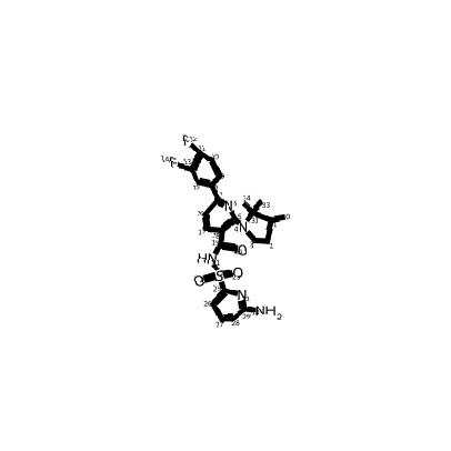 CC1CCN(c2nc(-c3ccc(F)c(F)c3)ccc2C(=O)NS(=O)(=O)c2cccc(N)n2)C1(C)C